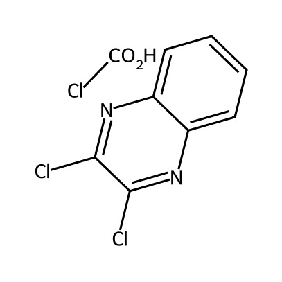 Clc1nc2ccccc2nc1Cl.O=C(O)Cl